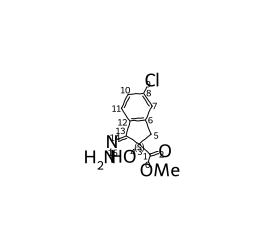 COC(=O)[C@]1(O)Cc2cc(Cl)ccc2C1=NN